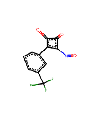 O=Nc1c(-c2cccc(C(F)(F)F)c2)c(=O)c1=O